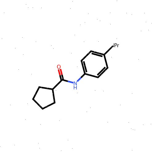 CC(C)c1ccc(NC(=O)C2CCCC2)cc1